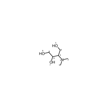 CN(C)C(CO)C(O)CO